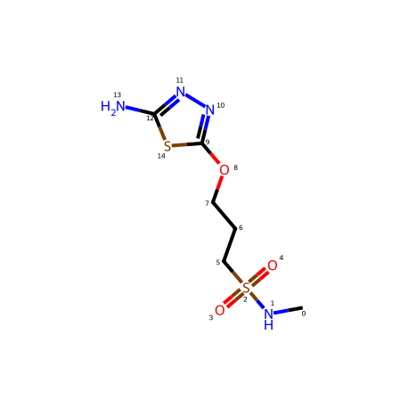 CNS(=O)(=O)CCCOc1nnc(N)s1